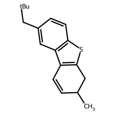 CC1C=Cc2c(sc3ccc(CC(C)(C)C)cc23)C1